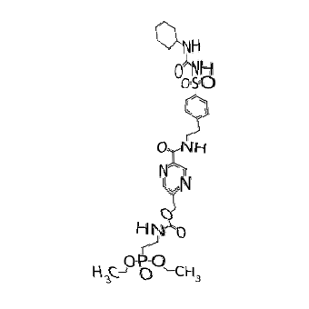 CCOP(=O)(CCNC(=O)OCc1cnc(C(=O)NCCc2ccc(S(=O)(=O)NC(=O)NC3CCCCC3)cc2)cn1)OCC